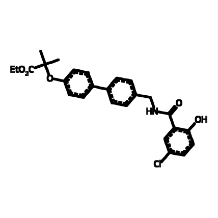 CCOC(=O)C(C)(C)Oc1ccc(-c2ccc(CNC(=O)c3cc(Cl)ccc3O)cc2)cc1